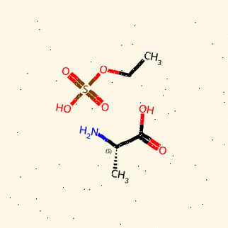 CCOS(=O)(=O)O.C[C@H](N)C(=O)O